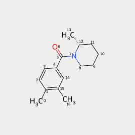 Cc1ccc(C(=O)N2CCCC[C@H]2C)cc1C